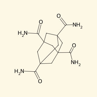 NC(=O)C12CC3(C(N)=O)CC(C(N)=O)(C1)CC(C(N)=O)(C2)C3